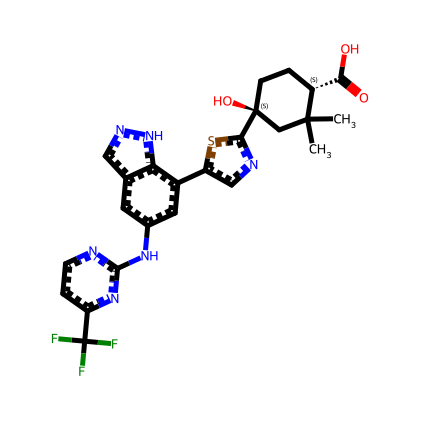 CC1(C)C[C@](O)(c2ncc(-c3cc(Nc4nccc(C(F)(F)F)n4)cc4cn[nH]c34)s2)CC[C@@H]1C(=O)O